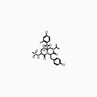 CC(C)N1CC2(S(=O)(=O)c3ccc(Cl)cc3F)NCC(NS(C)(=O)=O)C(=O)N2C(Cc2ccc(Cl)cc2)C1=O